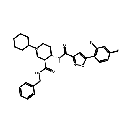 O=C(N[C@H]1CCN(C2CCCCC2)C[C@@H]1C(=O)NCc1ccccc1)c1cc(-c2ccc(F)cc2F)on1